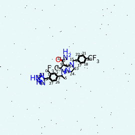 Cc1cc(C(C)N2C(C(F)(F)F)C(C(N)=O)=C3N(Cc4ccc(C(F)(F)F)cc4)CCN32)ccc1-c1nn[nH]n1